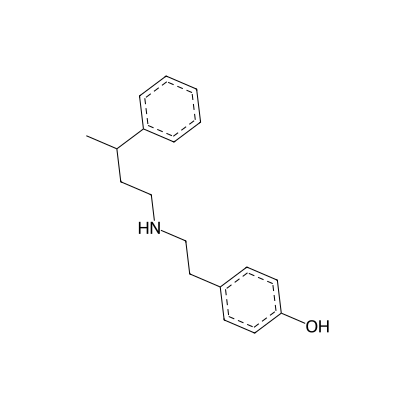 CC(CCNCCc1ccc(O)cc1)c1ccccc1